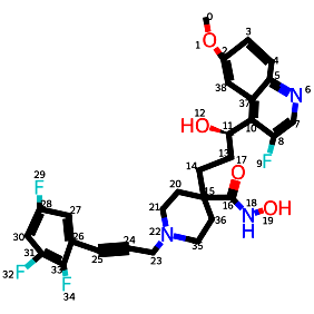 COc1ccc2ncc(F)c([C@H](O)CCC3(C(=O)NO)CCN(CC#Cc4cc(F)cc(F)c4F)CC3)c2c1